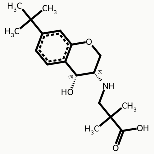 CC(C)(CN[C@H]1COc2cc(C(C)(C)C)ccc2[C@H]1O)C(=O)O